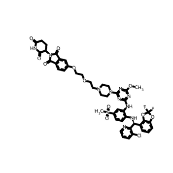 COc1nc(Nc2cc(S(C)(=O)=O)ccc2N[C@@H](c2cccc3c2OC(F)(F)O3)c2ncccc2Cl)nc(N2CCN(CCOCCOc3ccc4c(c3)C(=O)N(C3CCC(=O)NC3=O)C4=O)CC2)n1